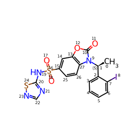 C[C@@H](c1ccccc1I)n1c(=O)oc2cc(S(=O)(=O)Nc3ncns3)ccc21